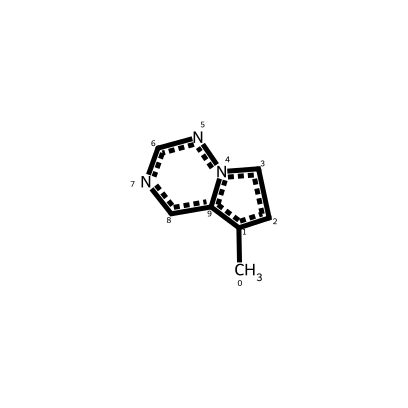 Cc1ccn2ncncc12